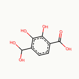 O=C(O)c1ccc(C(O)O)c(O)c1O